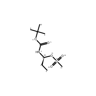 CC[C@@H](NC(=O)OC(C)(C)C)OS(C)(=O)=O